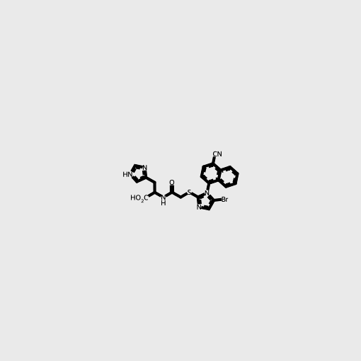 N#Cc1ccc(-n2c(Br)cnc2SCC(=O)NC(Cc2c[nH]cn2)C(=O)O)c2ccccc12